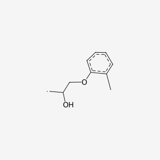 [CH2]C(O)COc1ccccc1C